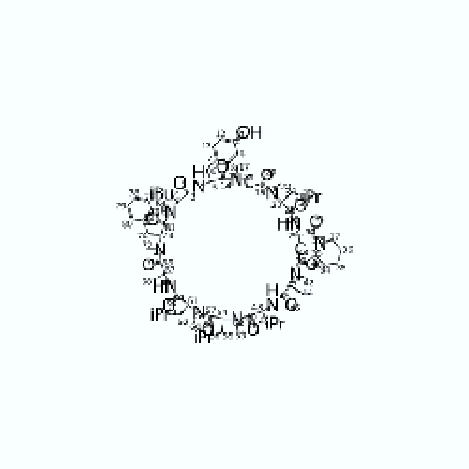 CC[C@H](C)[C@H]1C(=O)N[C@@H](Cc2ccc(O)cc2)C(=O)N(C)CC(=O)N(C)[C@@H](CC(C)C)C(=O)N[C@H](C(=O)N2CCCCC2)CC(=O)N(C)[C@@H](C)C(=O)N[C@@H](C(C)C)C(=O)N(C)[C@@H](CC(C)C)C(=O)N(C)[C@@H](CC(C)C)C(=O)NC(C)C(=O)N(C)[C@@H](Cc2ccccc2)C(=O)N1C